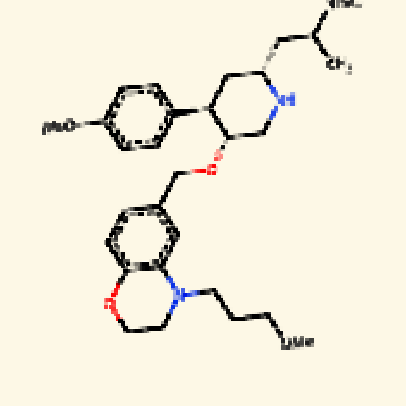 COCCCN1CCOc2ccc(CO[C@H]3CN[C@@H](CC(C)NC(C)=O)C[C@@H]3c3ccc(OC)cc3)cc21